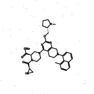 COC(=O)[C@H]1CN(c2nc(OC[C@@H]3CCCN3C)nc3c2CCN(c2cccc4cccc(C)c24)C3)CCN1C(=O)[C@H]1CN1